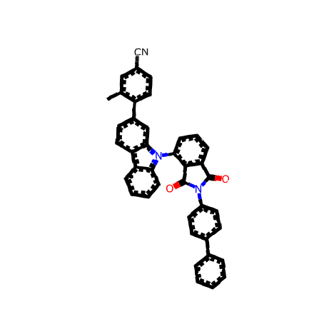 Cc1cc(C#N)ccc1-c1ccc2c3ccccc3n(-c3cccc4c3C(=O)N(c3ccc(-c5ccccc5)cc3)C4=O)c2c1